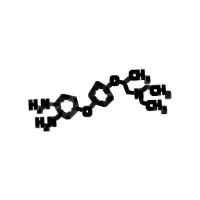 CCN(CC)CC(C)Oc1ccc(Oc2ccc(N)c(N)c2)cc1